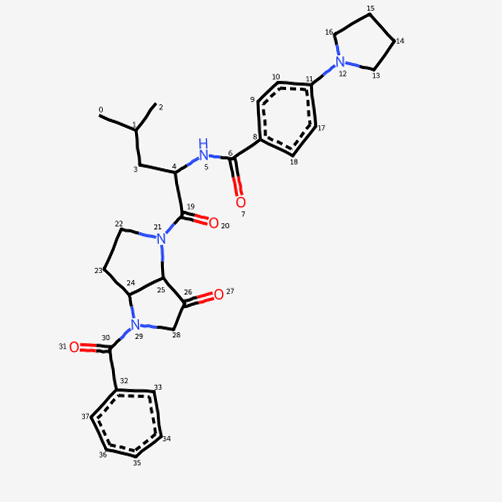 CC(C)CC(NC(=O)c1ccc(N2CCCC2)cc1)C(=O)N1CCC2C1C(=O)CN2C(=O)c1ccccc1